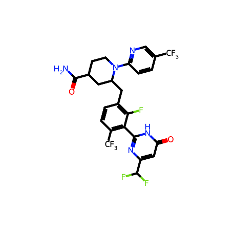 NC(=O)C1CCN(c2ccc(C(F)(F)F)cn2)C(Cc2ccc(C(F)(F)F)c(-c3nc(C(F)F)cc(=O)[nH]3)c2F)C1